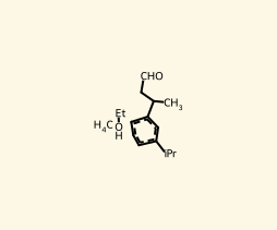 C.CC(C)c1cccc(C(C)CC=O)c1.CCO